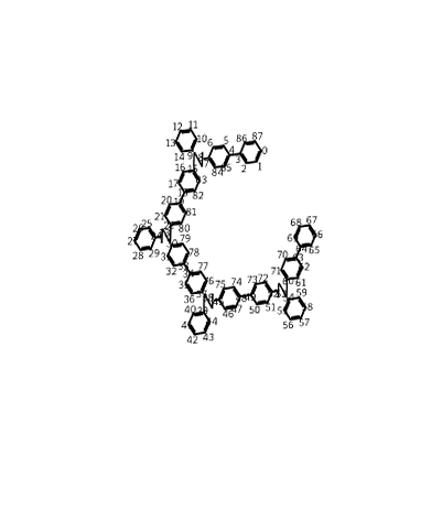 c1ccc(-c2ccc(N(c3ccccc3)c3ccc(-c4ccc(N(c5ccccc5)c5ccc(-c6ccc(N(c7ccccc7)c7ccc(-c8ccc(N(c9ccccc9)c9ccc(-c%10ccccc%10)cc9)cc8)cc7)cc6)cc5)cc4)cc3)cc2)cc1